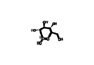 OC[C@H]1O[13CH](O)[C@H](O)[C@@H](O)[C@@H]1O